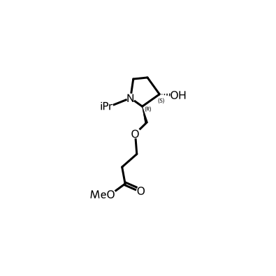 COC(=O)CCOC[C@@H]1[C@@H](O)CCN1C(C)C